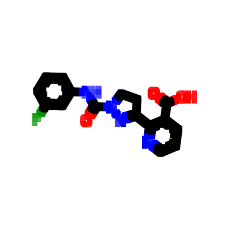 O=C(O)c1cccnc1C1=NN(C(=O)Nc2cccc(F)c2)CC1